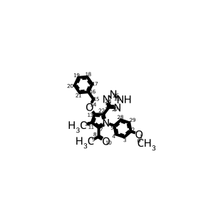 COc1ccc(-n2c(C(C)=O)c(C)c(OCc3ccccc3)c2-c2nn[nH]n2)cc1